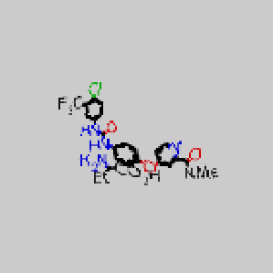 CCC(N)C(=O)O.CNC(=O)c1cc(Oc2ccc(NC(=O)Nc3ccc(Cl)c(C(F)(F)F)c3)cc2)ccn1